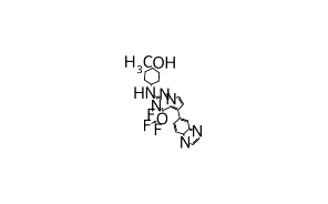 C[C@]1(O)CC[C@H](Nc2nc(OC(F)(F)F)c3c(-c4ccc5nccnc5c4)ccn3n2)CC1